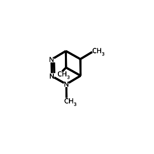 CC1C2N=NN(C)C1C2C